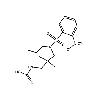 CCCN(CC(C)(C)CNC(=O)O)S(=O)(=O)c1ccccc1[N+](=O)[O-]